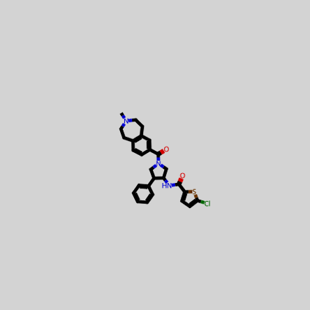 CN1CCc2ccc(C(=O)N3CC(NC(=O)c4ccc(Cl)s4)C(c4ccccc4)C3)cc2CC1